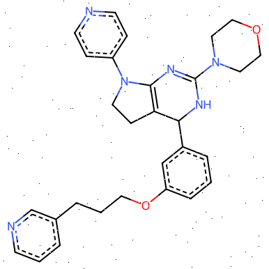 c1cncc(CCCOc2cccc(C3NC(N4CCOCC4)=NC4=C3CCN4c3ccncc3)c2)c1